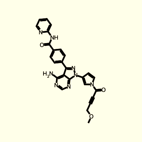 COCC#CC(=O)n1ccc(-n2nc(-c3ccc(C(=O)Nc4ccccn4)cc3)c3c(N)ncnc32)c1